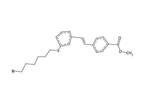 COC(=O)c1ccc(C=Cc2cccc(SCCCCCCBr)c2)cc1